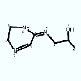 CC(O)CN=C1[C]=NCCN1